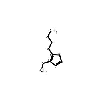 CCCCC1=C(CC)C=CC1